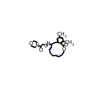 Cc1cc(C)c2c(c1)CC(=N/OCC(=O)N1CCOCC1)/C=C/CC/C=C/CCOC2=O